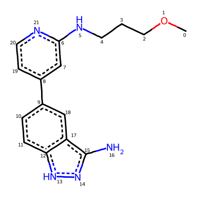 COCCCNc1cc(-c2ccc3[nH]nc(N)c3c2)ccn1